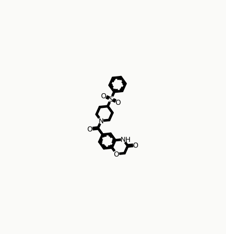 O=C1COc2ccc(C(=O)N3CCC(S(=O)(=O)c4ccccc4)CC3)cc2N1